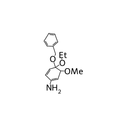 CCOC1(OCc2ccccc2)C=CC(N)=CC1OC